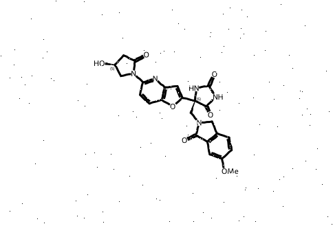 COc1ccc2c(c1)C(=O)N(C[C@@]1(c3cc4nc(N5C[C@@H](O)CC5=O)ccc4o3)NC(=O)NC1=O)C2